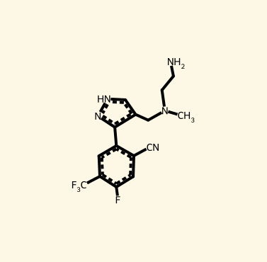 CN(CCN)Cc1c[nH]nc1-c1cc(C(F)(F)F)c(F)cc1C#N